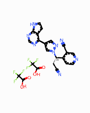 N#CC[C@@H](c1ccncc1C#N)n1cc(-c2ncnc3[nH]ccc23)cn1.O=C(O)C(F)(F)F.O=C(O)C(F)(F)F